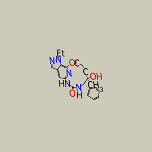 CCn1ncc2cc3nc(c21)OCCC[C@@](C)(O)[C@H](c1ccccc1)NC(=O)N3